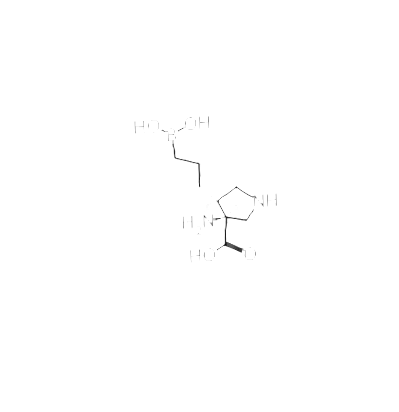 N[C@]1(C(=O)O)CNC[C@H]1CCCB(O)O